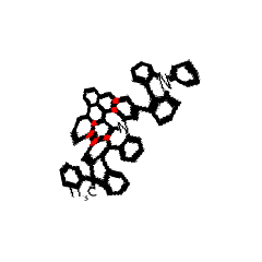 CC1(c2ccccc2)c2ccccc2-c2c(-c3ccccc3N(c3cccc(-c4cccc5c4c4ccccc4n5-c4ccccc4)c3)c3ccccc3-c3cccc4cccc(C5CCCCC5)c34)cccc21